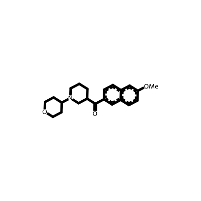 COc1ccc2cc(C(=O)C3CCCN(C4CCOCC4)C3)ccc2c1